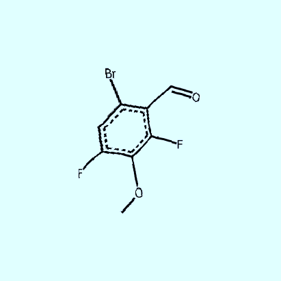 COc1c(F)cc(Br)c(C=O)c1F